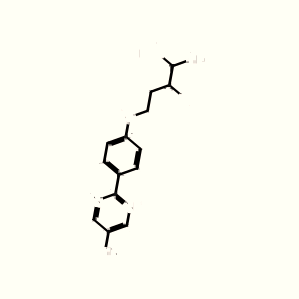 CCCCCCCCCc1cnc(-c2ccc(OCCC(F)C(C)CCCC)cc2)nc1